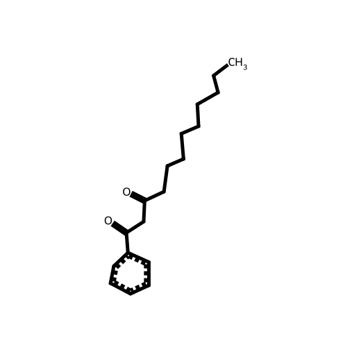 CCCCCCCCCC(=O)CC(=O)c1ccccc1